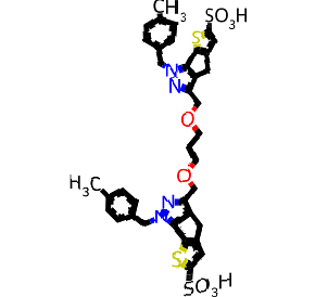 Cc1ccc(Cn2nc(COCCCOCc3nn(Cc4ccc(C)cc4)c4c3Cc3cc(S(=O)(=O)O)sc3-4)c3c2-c2sc(S(=O)(=O)O)cc2C3)cc1